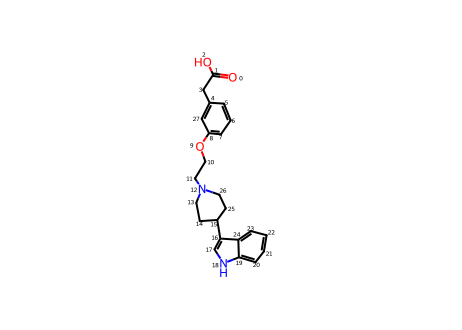 O=C(O)Cc1cccc(OCCN2CCC(c3c[nH]c4ccccc34)CC2)c1